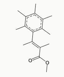 COC(=O)C(C)=C(C)c1c(C)c(C)c(C)c(C)c1C